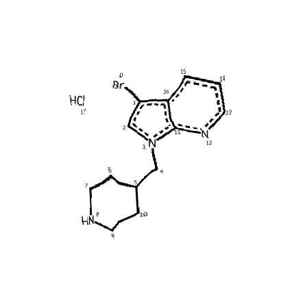 Brc1cn(CC2CCNCC2)c2ncccc12.Cl